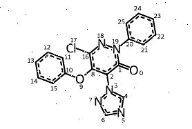 O=c1c(-n2cncn2)c(Oc2ccccc2)c(Cl)nn1-c1ccccc1